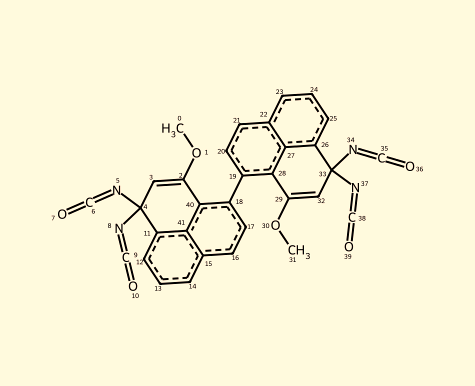 COC1=CC(N=C=O)(N=C=O)c2cccc3ccc(-c4ccc5cccc6c5c4C(OC)=CC6(N=C=O)N=C=O)c1c23